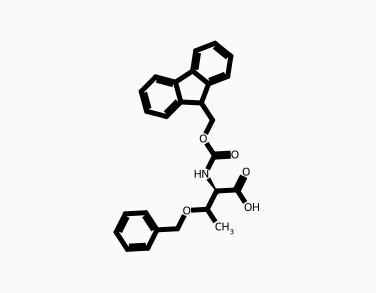 CC(OCc1ccccc1)[C@@H](NC(=O)OCC1c2ccccc2-c2ccccc21)C(=O)O